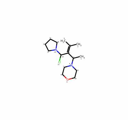 CC(C)=C(C(C)N1CCOCC1)C(Cl)N1CCCC1